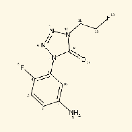 Nc1ccc(F)c(-n2nnn(CCF)c2=O)c1